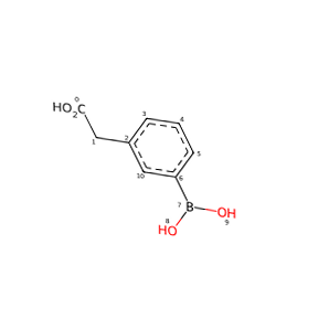 O=C(O)Cc1cccc(B(O)O)c1